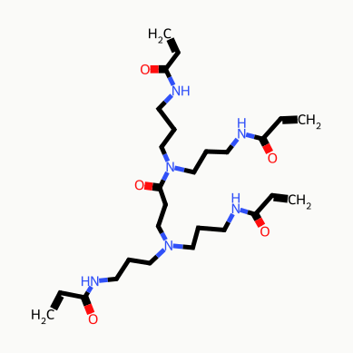 C=CC(=O)NCCCN(CCCNC(=O)C=C)CCC(=O)N(CCCNC(=O)C=C)CCCNC(=O)C=C